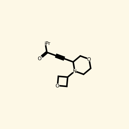 CC(C)C(=O)C#CC1COCCN1C1COC1